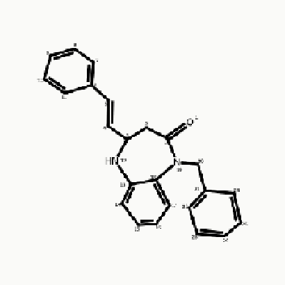 O=C1CC(/C=C/c2ccccc2)Nc2ccccc2N1Cc1ccccc1